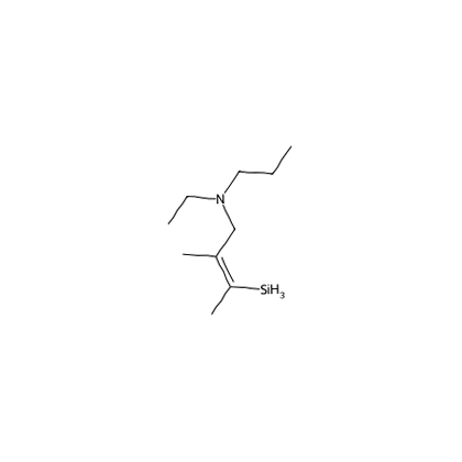 CCCN(CC)CC(C)=C(C)[SiH3]